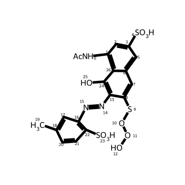 CC(=O)Nc1cc(S(=O)(=O)O)cc2cc(SOOO)c(N=Nc3cc(C)ccc3S(=O)(=O)O)c(O)c12